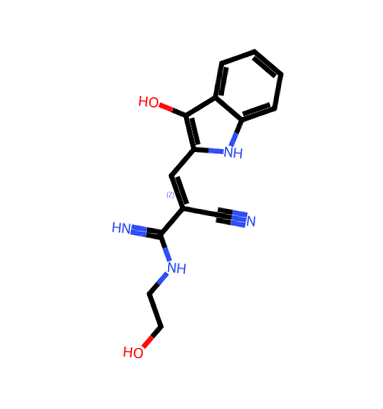 N#C/C(=C\c1[nH]c2ccccc2c1O)C(=N)NCCO